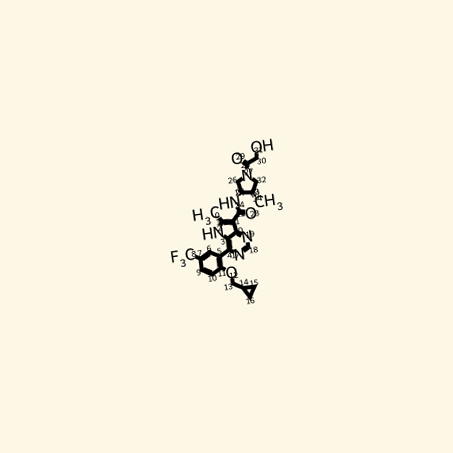 Cc1[nH]c2c(-c3cc(C(F)(F)F)ccc3OCC3CC3)ncnc2c1C(=O)N[C@@H]1CN(C(=O)CO)C[C@@H]1C